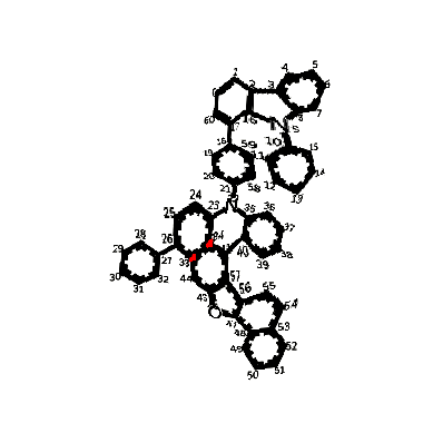 C1=CC2c3ccccc3N(c3ccccc3)C2C(c2ccc(N(c3ccc(-c4ccccc4)cc3)c3ccccc3-c3cccc4oc5c6ccccc6ccc5c34)cc2)=C1